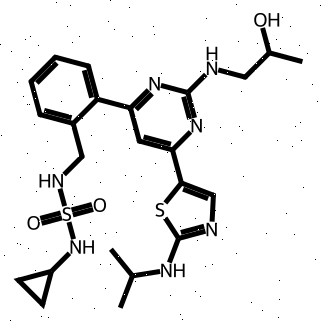 CC(O)CNc1nc(-c2cnc(NC(C)C)s2)cc(-c2ccccc2CNS(=O)(=O)NC2CC2)n1